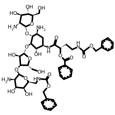 N[C@H]1[C@@H](O[C@H]2[C@@H](O)[C@H](O[C@@H]3[C@@H](O)[C@H](NC(=O)[C@H](CCNC(=O)OCc4ccccc4)OC(=O)c4ccccc4)C[C@H](N)[C@H]3O[C@H]3O[C@H](CO)[C@@H](O)[C@H](O)[C@H]3N)O[C@@H]2CO)O[C@@H](CNC(=O)OCc2ccccc2)[C@@H](O)[C@@H]1O